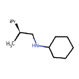 CC(C)[C@H](C)CNC1CCCCC1